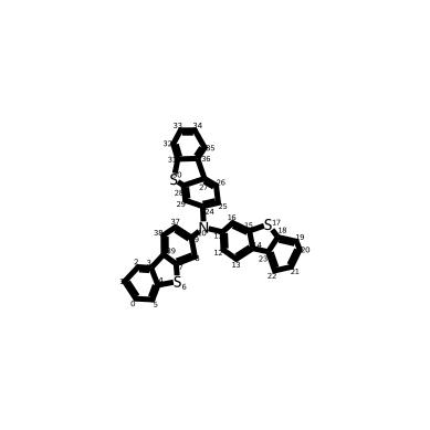 c1ccc2c(c1)sc1cc(N(c3ccc4c(c3)sc3ccccc34)c3ccc4c(c3)sc3ccccc34)ccc12